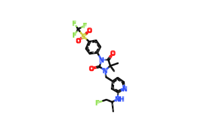 CC(CF)Nc1cc(CN2C(=O)N(c3ccc(S(=O)(=O)C(F)(F)F)cc3)C(=O)C2(C)C)ccn1